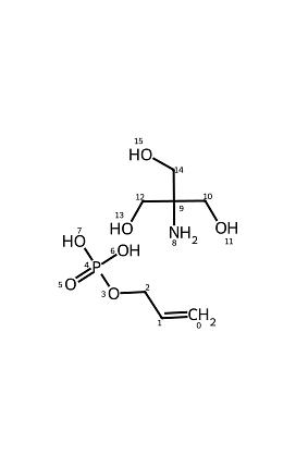 C=CCOP(=O)(O)O.NC(CO)(CO)CO